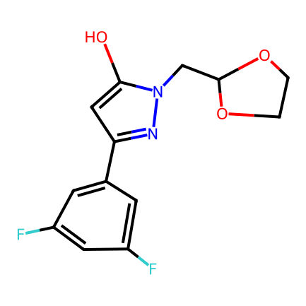 Oc1cc(-c2cc(F)cc(F)c2)nn1CC1OCCO1